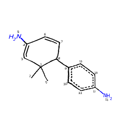 CC1(C)C=C(N)C=CC1c1ccc(N)cc1